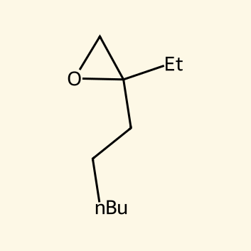 [CH2]CCCCCC1(CC)CO1